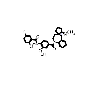 C/N=C1\CCCC12CCN(C(=O)c1ccc(NC(=O)c3cc(F)ccc3Cl)c(OC)c1)c1ccccc1C2